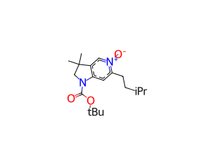 CC(C)CCc1cc2c(c[n+]1[O-])C(C)(C)CN2C(=O)OC(C)(C)C